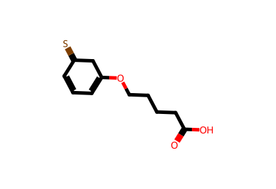 O=C(O)CCCCOC1=CC=CC(=S)C1